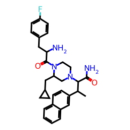 CC(c1ccc2ccccc2c1)C(C(N)=O)N1CCN(C(=O)C(N)Cc2ccc(F)cc2)C(CC2CC2)C1